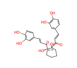 O=C(C=Cc1ccc(O)c(O)c1)[C@]1(O)CCCC[C@]1(O)C(=O)C=Cc1ccc(O)c(O)c1